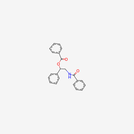 O=C(NCC(OC(=O)c1ccccc1)c1ccccc1)c1ccccc1